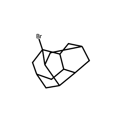 BrC12CC3CC4C5CC(CC41)CC2C5C3